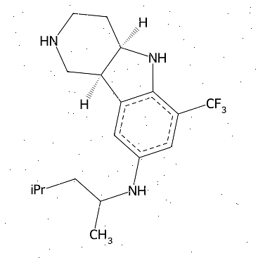 CC(C)CC(C)Nc1cc2c(c(C(F)(F)F)c1)N[C@@H]1CCNC[C@H]21